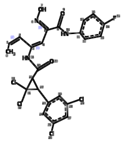 C\C=C/C(=C\C(=N\O)C(=O)Nc1ccc(F)cc1)NC(=O)C1C(c2cc(Cl)cc(Cl)c2)C1(Cl)Cl